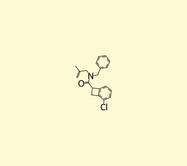 C=C(C)CN(Cc1ccccc1)C(=O)C1Cc2c(Cl)cccc21